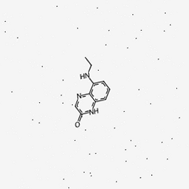 CCNc1cccc2[nH]c(=O)cnc12